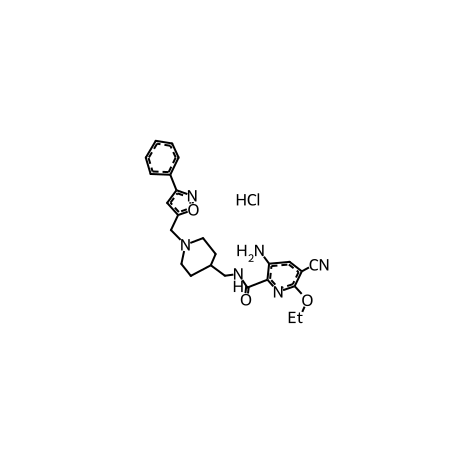 CCOc1nc(C(=O)NCC2CCN(Cc3cc(-c4ccccc4)no3)CC2)c(N)cc1C#N.Cl